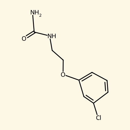 NC(=O)NCCOc1cccc(Cl)c1